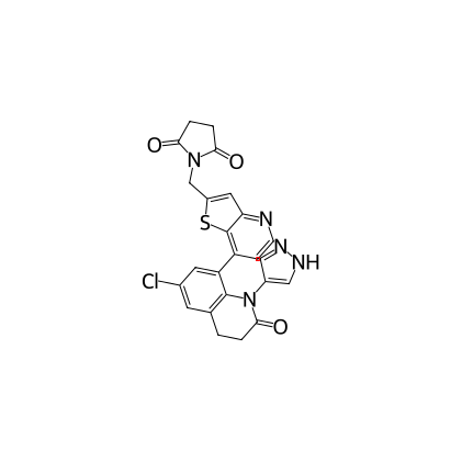 O=C1CCC(=O)N1Cc1cc2nccc(-c3cc(Cl)cc4c3N(c3cn[nH]c3)C(=O)CC4)c2s1